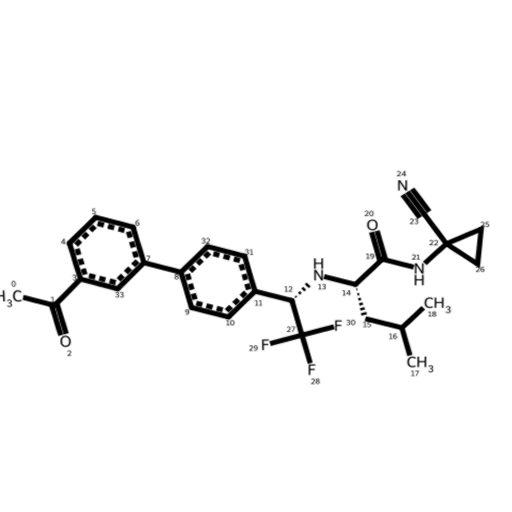 CC(=O)c1cccc(-c2ccc([C@H](N[C@@H](CC(C)C)C(=O)NC3(C#N)CC3)C(F)(F)F)cc2)c1